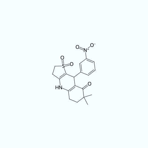 CC1(C)CCC2=C(C1=O)C(c1cccc([N+](=O)[O-])c1)C1=C(CCS1(=O)=O)N2